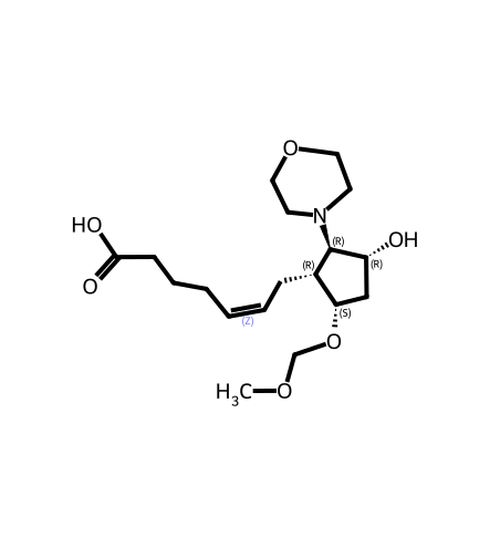 COCO[C@H]1C[C@@H](O)[C@H](N2CCOCC2)[C@H]1C/C=C\CCCC(=O)O